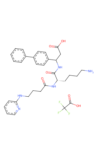 NCCCC[C@H](NC(=O)CCCNc1ccccn1)C(=O)NC(CC(=O)O)c1ccc(-c2ccccc2)cc1.O=C(O)C(F)(F)F